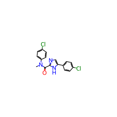 CN(C(=O)c1ncc(-c2ccc(Cl)cc2)[nH]1)c1ccc(Cl)cc1